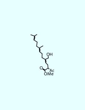 COC(=O)C(C/C=C(\CO)CC/C=C(\C)CCC=C(C)C)C(C)=O